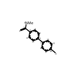 C=C(NC)c1ccc(-c2ccc(C)cc2)cc1